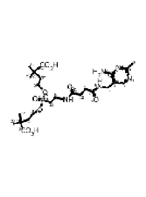 Cc1ncc(CNC(=O)CCC(=O)NCCP(=O)(OCCC(C)(C)C(=O)O)OCCC(C)(C)C(=O)O)c(N)n1